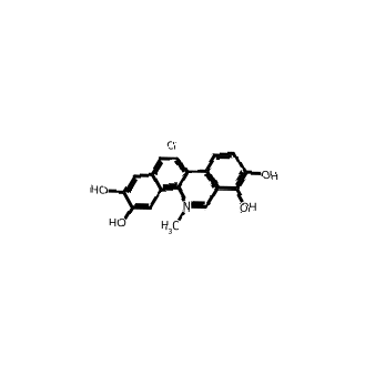 C[n+]1cc2c(O)c(O)ccc2c2ccc3cc(O)c(O)cc3c21.[Cl-]